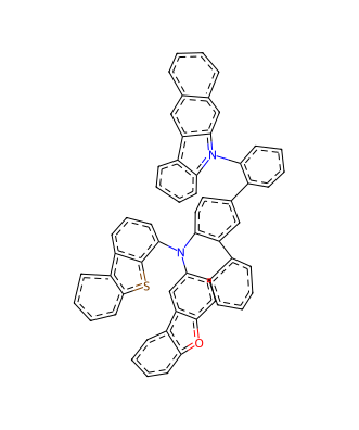 c1ccc(-c2cc(-c3ccccc3-n3c4ccccc4c4cc5ccccc5cc43)ccc2N(c2ccc3oc4ccccc4c3c2)c2cccc3c2sc2ccccc23)cc1